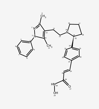 Cc1nn(-c2ccccc2)c(C)c1CCN1CCC[C@H]1c1ccc(C=CC(=O)NO)cc1